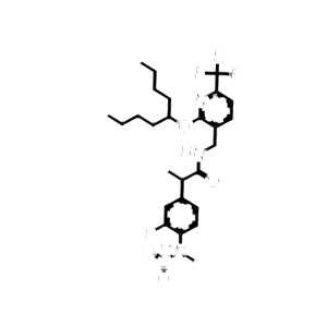 CCCCC(CCCC)Oc1nc(C(F)(F)F)ccc1CNC(=O)C(C)c1ccc(N(C)[SH](=O)=O)c(F)c1